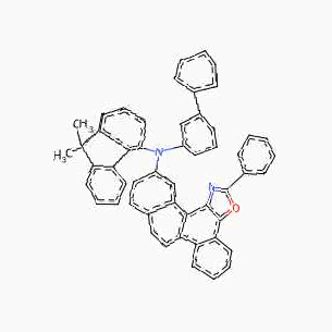 CC1(C)c2ccccc2-c2c(N(c3cccc(-c4ccccc4)c3)c3ccc4ccc5c6ccccc6c6oc(-c7ccccc7)nc6c5c4c3)cccc21